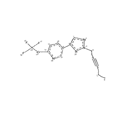 CCC#CCn1ncc(-c2ccc(OC(F)(F)F)nc2)n1